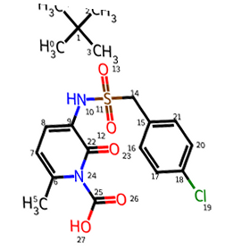 CC(C)(C)C.Cc1ccc(NS(=O)(=O)Cc2ccc(Cl)cc2)c(=O)n1C(=O)O